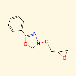 c1ccc(C2=NN(OCC3CO3)CO2)cc1